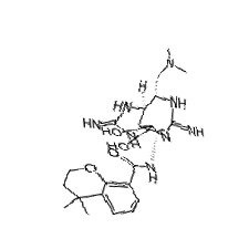 CN(C)C[C@@H]1NC(=N)N2C[C@H](NC(=O)c3cccc4c3OCCC4(C)C)C(O)(O)[C@@]23NC(=N)N[C@@H]13